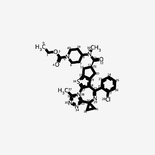 CCOC(=O)N1CCC(N(C)C(=O)[C@@H]2Cc3sc4c(c3C2)C(c2ccccc2Cl)=NC2(CC2)c2nnc(C)n2-4)CC1